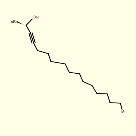 CCCC[C@H](O)C#CCCCCCCCCCCCCBr